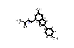 NC(=O)/C=C/c1cc(O)cc2cc(-c3ccc(O)cc3)oc12